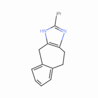 CC(C)c1nc2c([nH]1)Cc1ccccc1CC2